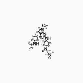 C=CC(=O)Nc1cccc(-c2nc(Nc3ccc(N(C)CCN(C)C)cc3)nc3c2ccn3CO)c1